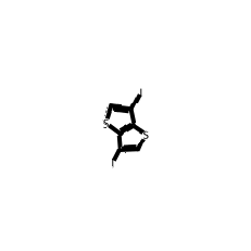 Ic1csc2c(I)csc12